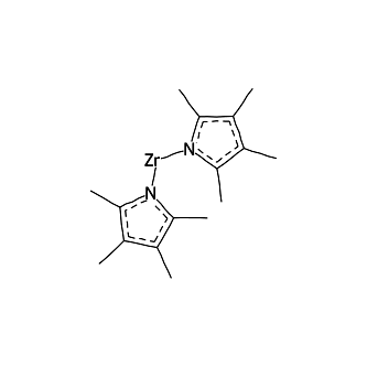 Cc1c(C)c(C)[n]([Zr][n]2c(C)c(C)c(C)c2C)c1C